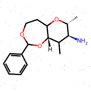 CC1[C@@H]2OC(c3ccccc3)OCCC2O[C@H](C)[C@H]1N